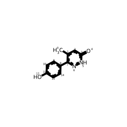 Cc1cc(=O)[nH]nc1-c1ccc(O)cc1